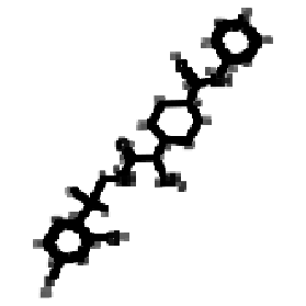 CC(C)(CNC(=O)C(N)C1CCC(C(=O)Nc2ccncc2)CC1)c1ccc(F)cc1Cl